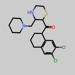 O=C(C1CCCc2cc(Cl)c(Cl)cc21)C1SCCNC1CN1CCCCC1